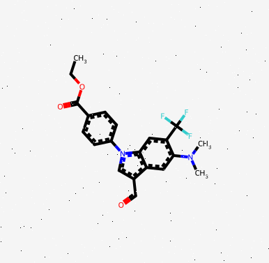 CCOC(=O)c1ccc(-n2cc(C=O)c3cc(N(C)C)c(C(F)(F)F)cc32)cc1